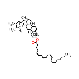 CCCCC/C=C\C/C=C\C/C=C\C/C=C\CCCC(=O)OC1CC[C@@]2(C)C(=CC=C3[C@@H]4CC[C@H]([C@H](C)C=C[C@H](C)C(C)C)[C@@]4(C)CC[C@@H]32)C1